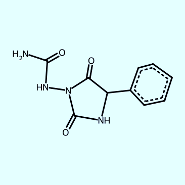 NC(=O)NN1C(=O)NC(c2ccccc2)C1=O